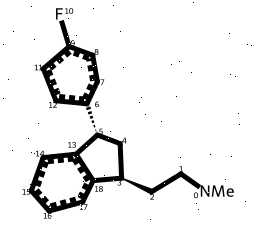 CNCC[C@@H]1C[C@@H](c2ccc(F)cc2)c2ccccc21